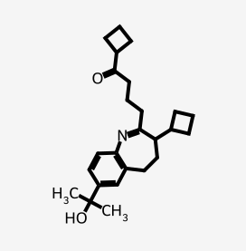 CC(C)(O)c1ccc2c(c1)CCC(C1CCC1)C(CCCC(=O)C1CCC1)=N2